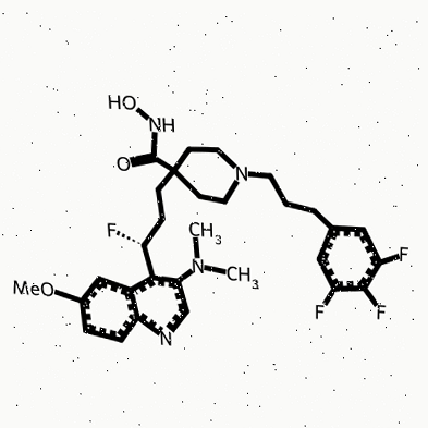 COc1ccc2ncc(N(C)C)c([C@H](F)CCC3(C(=O)NO)CCN(CCCc4cc(F)c(F)c(F)c4)CC3)c2c1